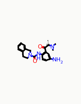 C[C@@H](C(=O)c1cc(N)ccc1NC(=O)N1CCc2ccccc2C1)N(C)C